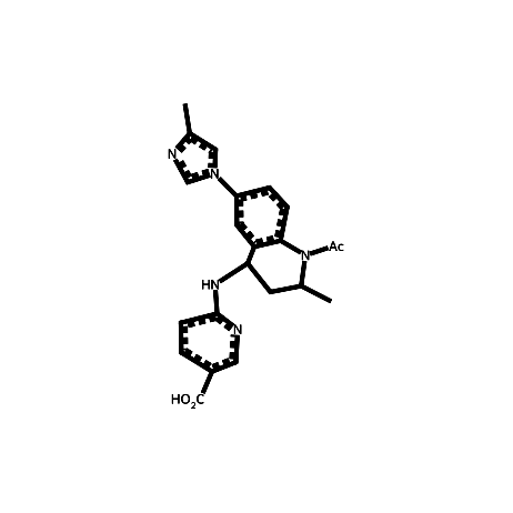 CC(=O)N1c2ccc(-n3cnc(C)c3)cc2C(Nc2ccc(C(=O)O)cn2)CC1C